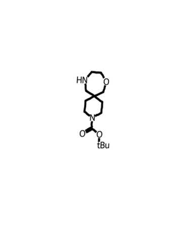 CC(C)(C)OC(=O)N1CCC2(CC1)CNCCOC2